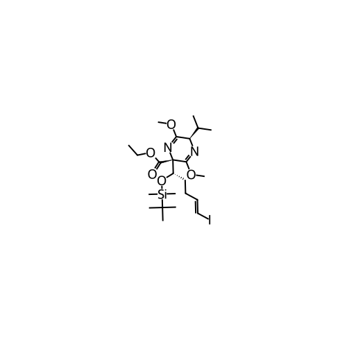 CCOC(=O)[C@@]1([C@H](CC/C=C/I)O[Si](C)(C)C(C)(C)C)N=C(OC)[C@@H](C(C)C)N=C1OC